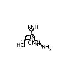 Cl.NCCn1cc(-n2cc(-c3cn[nH]c3)c3ccc(Cl)c(Cl)c32)nn1